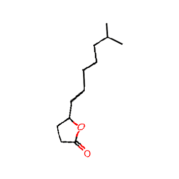 CC(C)CCCCCC1CCC(=O)O1